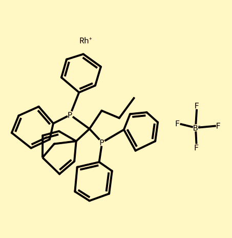 CCCC(P(c1ccccc1)c1ccccc1)(P(c1ccccc1)c1ccccc1)C12C=CC(C=C1)C2.F[B-](F)(F)F.[Rh+]